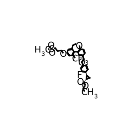 CCOC(=O)[C@H]1C[C@@H]1c1ccc(OCc2ccc3c(c2)-c2c(C)cc(OCCCS(C)(=O)=O)cc2CCO3)cc1F